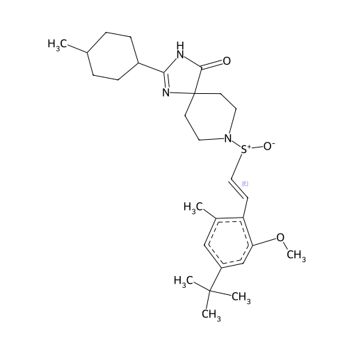 COc1cc(C(C)(C)C)cc(C)c1/C=C/[S+]([O-])N1CCC2(CC1)N=C(C1CCC(C)CC1)NC2=O